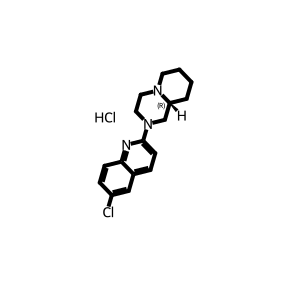 Cl.Clc1ccc2nc(N3CCN4CCCC[C@@H]4C3)ccc2c1